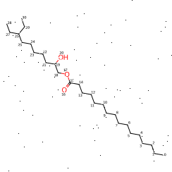 CCCCCCCCCCCCCCCC(=O)OCC(O)CCCCCC(CC)CC